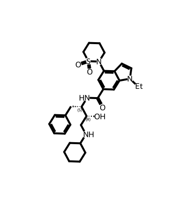 CCn1ccc2c(N3CCCCS3(=O)=O)cc(C(=O)N[C@@H](Cc3ccccc3)[C@H](O)CNC3CCCCC3)cc21